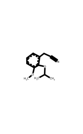 COc1cccc(CC#N)c1OC(C)C